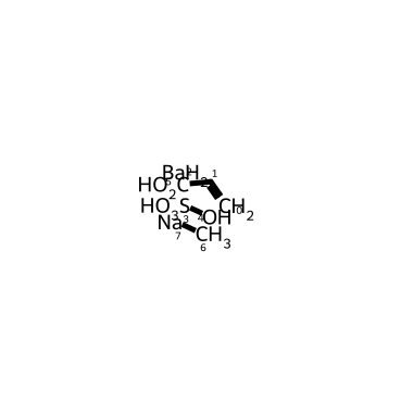 C=CC(=O)O.O=S(=O)(O)O.[BaH2].[CH3][Na]